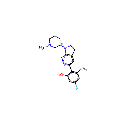 Cc1cc(F)cc(O)c1-c1cc2c(nn1)N([C@@H]1CCCN(C)C1)CC2